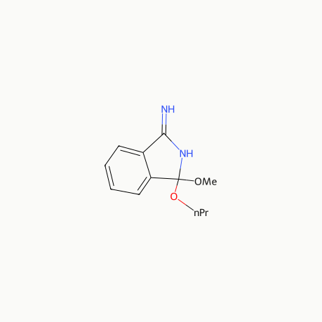 CCCOC1(OC)NC(=N)c2ccccc21